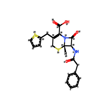 O=C(Cc1ccccc1)N[C@@H]1C(=O)N2C(C(=O)O)=C(Cc3cccs3)CS[C@@H]12